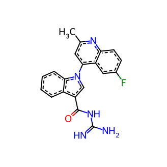 Cc1cc(-n2cc(C(=O)NC(=N)N)c3ccccc32)c2cc(F)ccc2n1